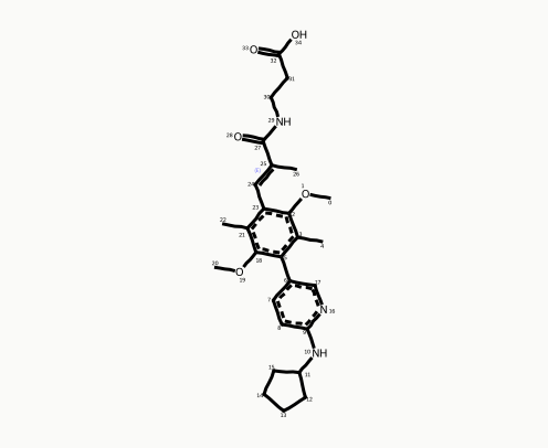 COc1c(C)c(-c2ccc(NC3CCCC3)nc2)c(OC)c(C)c1/C=C(\C)C(=O)NCCC(=O)O